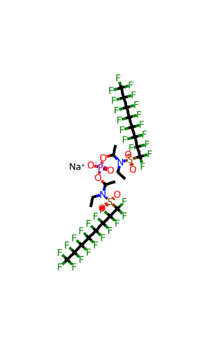 CCN(C(C)OP(=O)([O-])OC(C)N(CC)S(=O)(=O)C(F)(F)C(F)(F)C(F)(F)C(F)(F)C(F)(F)C(F)(F)C(F)(F)C(F)(F)F)S(=O)(=O)C(F)(F)C(F)(F)C(F)(F)C(F)(F)C(F)(F)C(F)(F)C(F)(F)C(F)(F)F.[Na+]